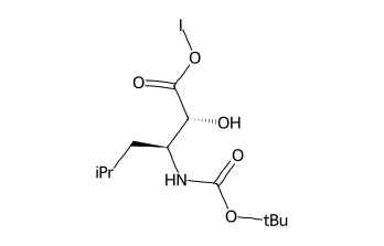 CC(C)C[C@H](NC(=O)OC(C)(C)C)[C@@H](O)C(=O)OI